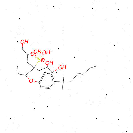 CCCCCC(C)(C)c1ccc(OC(CC)C(CC(O)CO)(CC(O)CO)S(=O)(=O)O)cc1